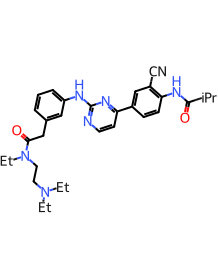 CCN(CC)CCN(CC)C(=O)Cc1cccc(Nc2nccc(-c3ccc(NC(=O)C(C)C)c(C#N)c3)n2)c1